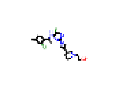 Cc1ccc(C(C)Nc2nc(N3CC(C4CCCN(CCO)C4)C3)ncc2Br)c(Cl)c1